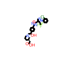 O=C(O)C[C@H]1CCCN(C[C@H](O)c2ccc(-c3noc(-c4cnn(-c5ccccc5Cl)c4C(F)(F)F)n3)cc2)C1